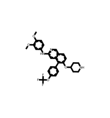 COc1ccc(Nc2cc3c(-c4ccc(OC(F)(F)F)cc4)c(OC4CCNCC4)ccc3cn2)cc1OC